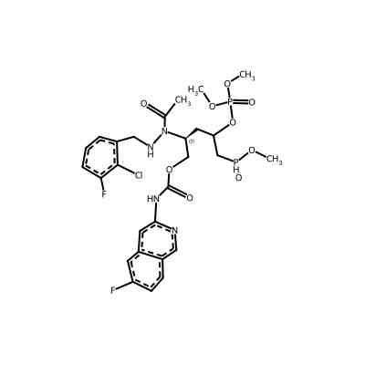 CO[PH](=O)CC(C[C@@H](COC(=O)Nc1cc2cc(F)ccc2cn1)N(NCc1cccc(F)c1Cl)C(C)=O)OP(=O)(OC)OC